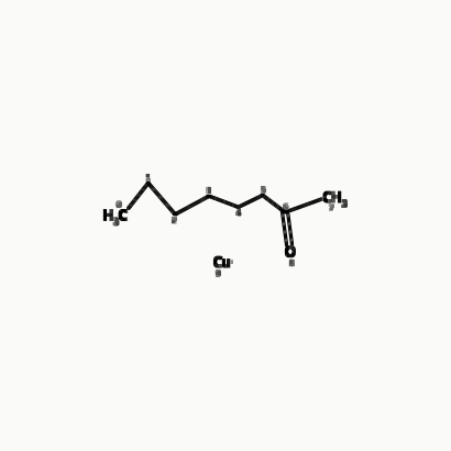 CCCCCCC(C)=O.[Cu]